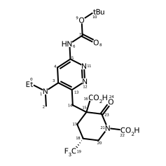 CCN(C)c1cc(NC(=O)OC(C)(C)C)nnc1CC1(C(=O)O)C[C@@H](C(F)(F)F)CN(C(=O)O)C1=O